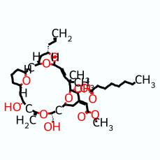 C=CC[C@H]1C[C@H]2C[C@H]3CCC[C@@H](C[C@@H](O)CC(=C)O[C@@H](CO)CC4C/C(=C\C(=O)OC)[C@H](OC(=O)CCCCCCC)[C@@](O)(O4)C(C)(C)/C=C/[C@H](O2)O1)O3